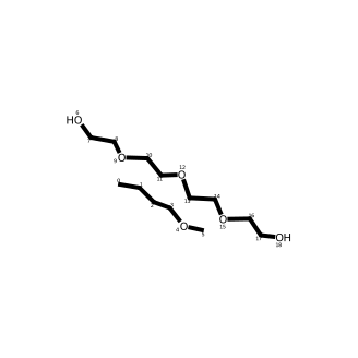 CCCCOC.OCCOCCOCCOCCO